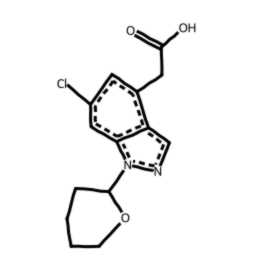 O=C(O)Cc1cc(Cl)cc2c1cnn2C1CCCCO1